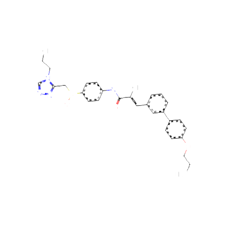 CCCOc1ccc(-c2cccc(/C=C(\C)C(=O)Nc3ccc([S+]([O-])Cc4nncn4CCC)cc3)c2)cc1